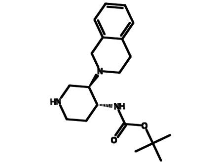 CC(C)(C)OC(=O)N[C@@H]1CCNC[C@H]1N1CCc2ccccc2C1